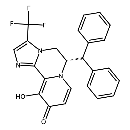 O=c1ccn2c(c1O)-c1ncc(C(F)(F)F)n1C[C@@H]2C(c1ccccc1)c1ccccc1